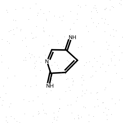 N=C1C=[C]C(=N)N=C1